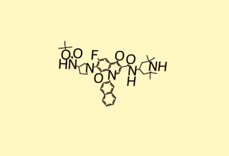 CC1(C)CC(NC(=O)c2cn3c4c(c(N5CCC(NC(=O)OC(C)(C)C)C5)c(F)cc4c2=O)Oc2cc4ccccc4cc2-3)CC(C)(C)N1